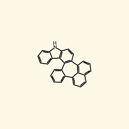 c1ccc2c(c1)-c1cccc3cccc(c13)-c1ccc3[nH]c4ccccc4c3c1-2